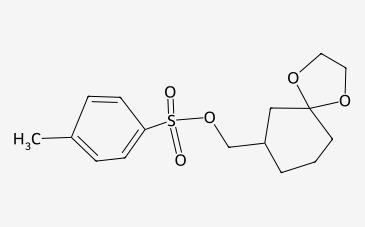 Cc1ccc(S(=O)(=O)OCC2CCCC3(C2)OCCO3)cc1